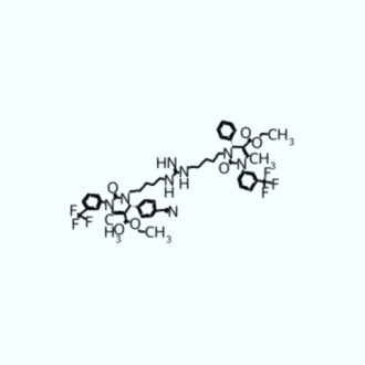 CCOC(=O)C1=C(C)N(c2cccc(C(F)(F)F)c2)C(=O)N(CCCCCNC(=N)NCCCCCN2C(=O)N(c3cccc(C(F)(F)F)c3)C(C)=C(C(=O)OCC)[C@H]2c2ccc(C#N)cc2)[C@@H]1c1ccccc1